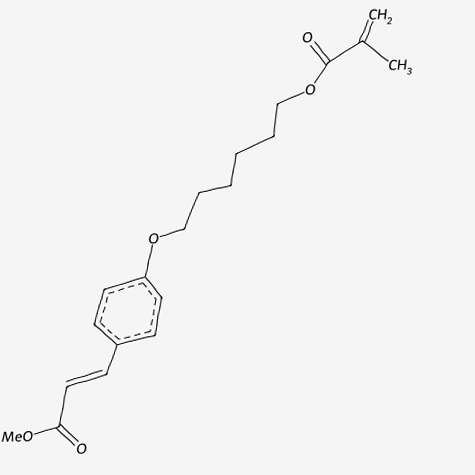 C=C(C)C(=O)OCCCCCCOc1ccc(C=CC(=O)OC)cc1